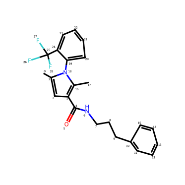 Cc1cc(C(=O)NCCCc2ccccc2)c(C)n1-c1ccccc1C(F)(F)F